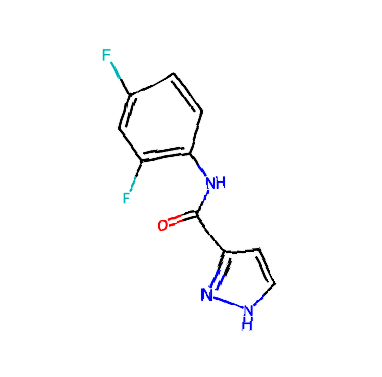 O=C(Nc1ccc(F)cc1F)c1cc[nH]n1